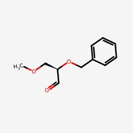 COC[C@H](C=O)OCc1ccccc1